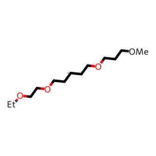 CCOCCOCC[CH]CCOCCCOC